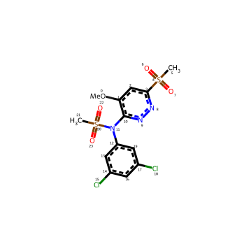 COc1cc(S(C)(=O)=O)nnc1N(c1cc(Cl)cc(Cl)c1)S(C)(=O)=O